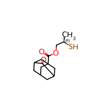 C[C@@H](S)COC(=O)C12CC3CC(C1)C(=O)C(C3)C2